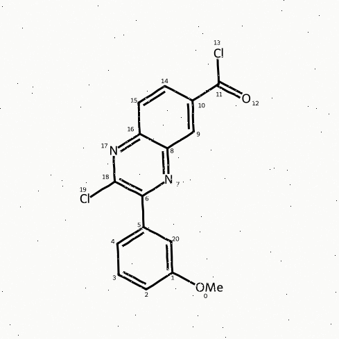 COc1cccc(-c2nc3cc(C(=O)Cl)ccc3nc2Cl)c1